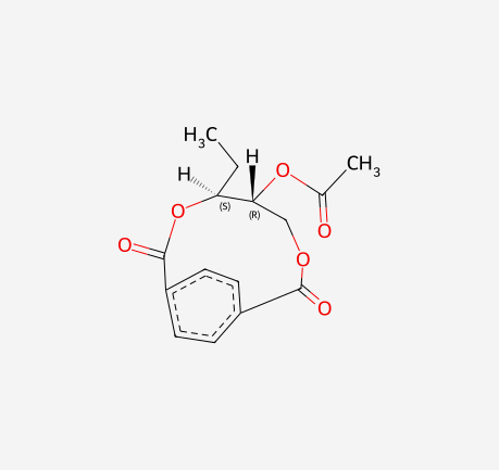 CC[C@@H]1OC(=O)c2ccc(cc2)C(=O)OC[C@H]1OC(C)=O